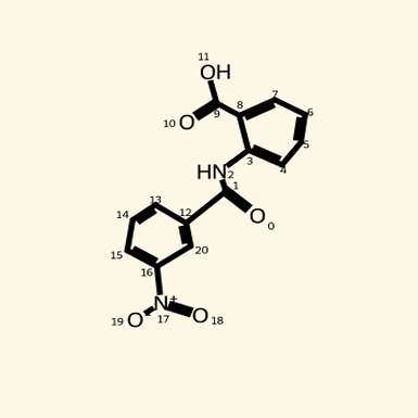 O=C(Nc1ccccc1C(=O)O)c1cccc([N+](=O)[O-])c1